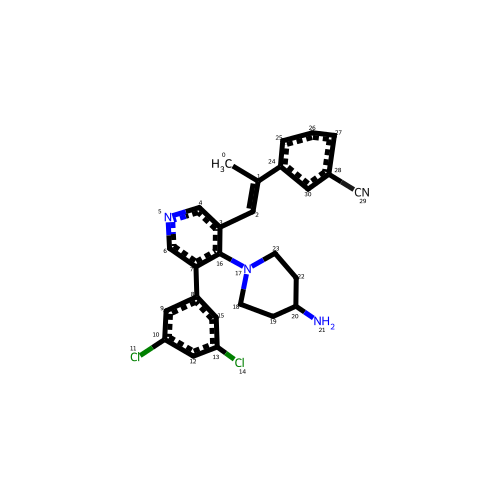 C/C(=C\c1cncc(-c2cc(Cl)cc(Cl)c2)c1N1CCC(N)CC1)c1cccc(C#N)c1